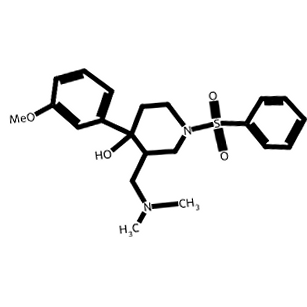 COc1cccc(C2(O)CCN(S(=O)(=O)c3ccccc3)CC2CN(C)C)c1